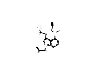 C#CCN(C)c1cccc2c1c(CC(=O)O)cn2C(=O)C(=C)C